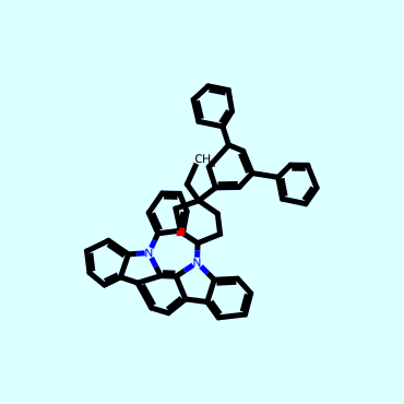 CCC1(C2=CC(c3ccccc3)=CC(c3ccccc3)C2)CCC(n2c3ccccc3c3ccc4c5ccccc5n(-c5ccccc5)c4c32)CC1